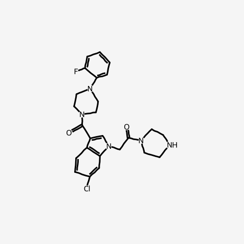 O=C(Cn1cc(C(=O)N2CCN(c3ccccc3F)CC2)c2ccc(Cl)cc21)N1CCNCC1